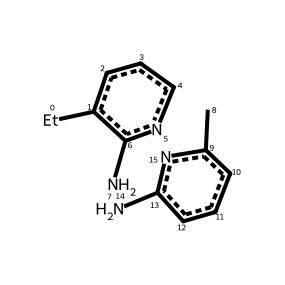 CCc1cccnc1N.Cc1cccc(N)n1